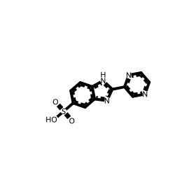 O=S(=O)(O)c1ccc2[nH]c(-c3cnccn3)nc2c1